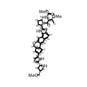 COC[C@@H]1CN[C@H](c2ncc(-c3ccc4c(c3)COc3cc5c(ccc6nc(C7CC[C@H](C)N7C(=O)[C@@H](NC(=O)OC)[C@@H](C)OC)[nH]c65)cc3-4)[nH]2)C1